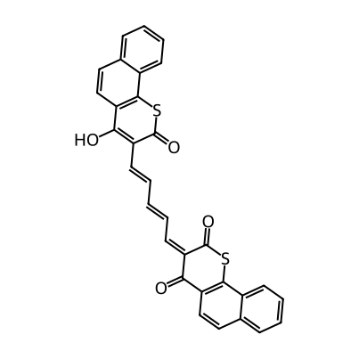 O=C1Sc2c(ccc3ccccc23)C(=O)C1=CC=CC=Cc1c(O)c2ccc3ccccc3c2sc1=O